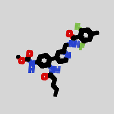 CCCCC(=O)Nc1cc(NC(=O)OC)ccc1-c1ccnc(CNC(=O)c2c(F)cc(C)cc2F)c1